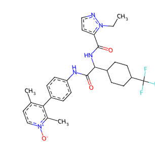 CCn1nccc1C(=O)NC(C(=O)Nc1ccc(-c2c(C)cc[n+]([O-])c2C)cc1)C1CCC(C(F)(F)F)CC1